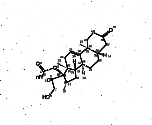 CCCC(=O)O[C@]1(C(=O)CO)[C@@H](C)C[C@H]2[C@@H]3CC[C@H]4CC(=O)CC[C@]4(C)C3=CC[C@@]21C